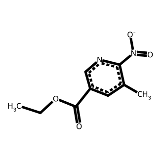 CCOC(=O)c1cnc([N+](=O)[O-])c(C)c1